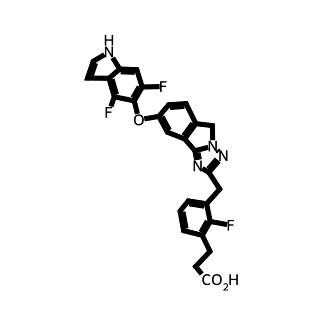 O=C(O)CCc1cccc(Cc2nc3n(n2)Cc2ccc(Oc4c(F)cc5[nH]ccc5c4F)cc2-3)c1F